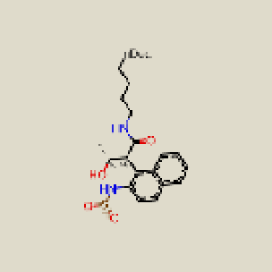 CCCCCCCCCCCCCCNC(=O)[C@@H](c1c(N[SH](=O)=O)ccc2ccccc12)[C@@H](C)O